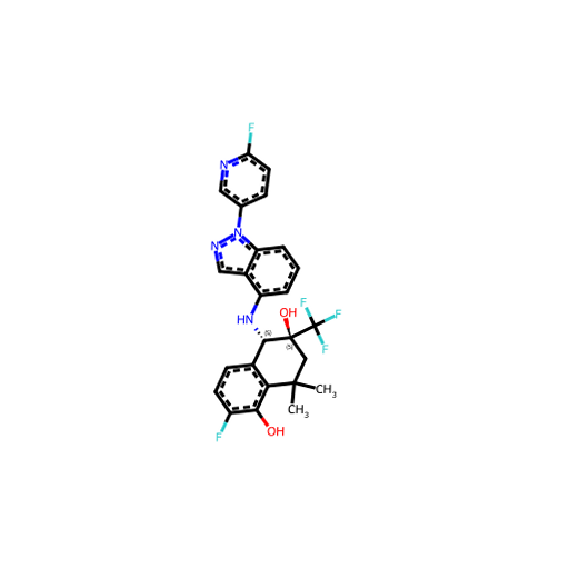 CC1(C)C[C@@](O)(C(F)(F)F)[C@@H](Nc2cccc3c2cnn3-c2ccc(F)nc2)c2ccc(F)c(O)c21